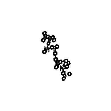 c1ccc(-n2c3ccccc3c3ccc(-c4nnc(-n5c6c7ccccc7ccc6c6cc7c8cc(-c9ccc(-n%10c%11ccccc%11c%11ccc(-c%12nc%13ccccc%13nc%12-c%12ccc(-n%13c%14c%15ccccc%15ccc%14c%14cc%15c%16ccccc%16n%16c%17ccccc%17c(c%14%13)c%15%16)cc%12)cc%11%10)cc9)ccc8n8c9ccccc9c(c65)c78)c5ccccc45)cc32)cc1